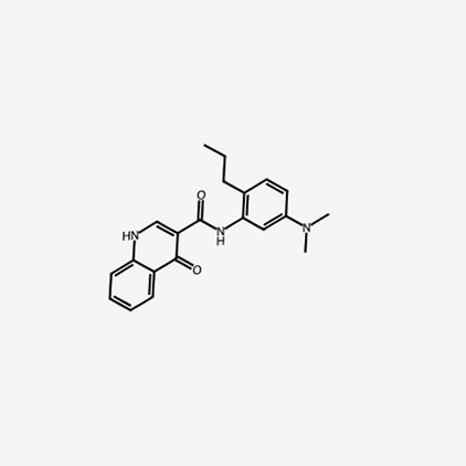 CCCc1ccc(N(C)C)cc1NC(=O)c1c[nH]c2ccccc2c1=O